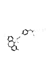 CCOC(=O)C(Cc1ccc(OCCN(C)C2c3ccc(CC)cc3CCc3ccc(C)cc32)cc1)OCC